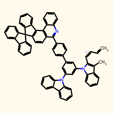 C=C/C=C\c1c(C)c2ccccc2n1-c1cc(-c2ccc(-c3nc4ccccc4c4c5c(ccc34)C3(c4ccccc4-c4ccccc43)c3ccccc3-5)cc2)cc(-n2c3ccccc3c3ccccc32)c1